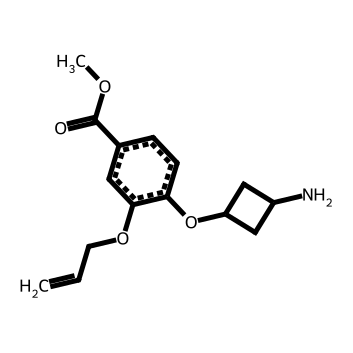 C=CCOc1cc(C(=O)OC)ccc1OC1CC(N)C1